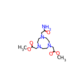 COC(=O)CN1CCN(CC(N)=O)CCN(CC(=O)OC)CC1